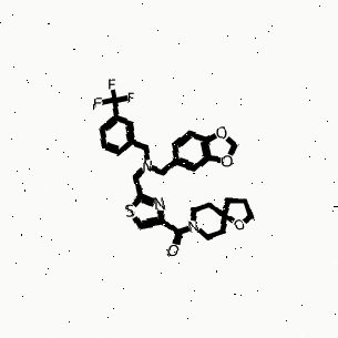 O=C(c1csc(CN(Cc2cccc(C(F)(F)F)c2)Cc2ccc3c(c2)OCO3)n1)N1CCC2(CCCO2)CC1